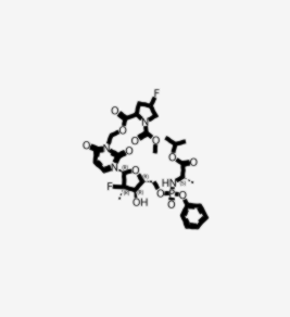 COC(=O)N1CC(F)CC1C(=O)OCn1c(=O)ccn([C@@H]2O[C@H](COP(=O)(N[C@@H](C)C(=O)OC(C)C)Oc3ccccc3)[C@@H](O)[C@@]2(C)F)c1=O